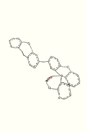 c1ccc2c(c1)Cc1ccc(-c3ccc4c(c3)[Si]3(c5ccccc5O4)c4ccccc4Oc4nccnc43)cc1O2